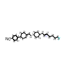 N#Cc1ccc(C2CCC(CC[C@H]3CC[C@H](C/C=C/CCCCF)CC3)CC2)cc1